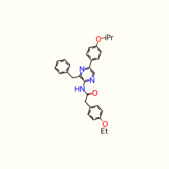 CCOc1ccc(CC(=O)Nc2ncc(-c3ccc(OC(C)C)cc3)nc2Cc2ccccc2)cc1